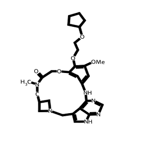 COc1cc2cc(c1OCCOC1CCCC1)OCC(=O)N(C)CC1CN(Cc3c[nH]c4ncnc(c34)N2)C1